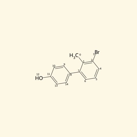 Cc1c(Br)cccc1-c1ccc(O)cc1